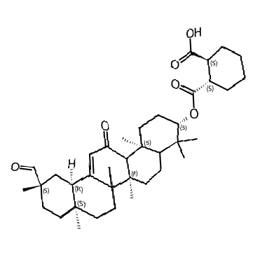 CC1(C)C2CC[C@]3(C)C(C(=O)C=C4[C@@H]5C[C@@](C)(C=O)CC[C@]5(C)CCC43C)[C@@]2(C)CC[C@@H]1OC(=O)[C@H]1CCCC[C@@H]1C(=O)O